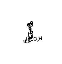 CC(C)(C)OC(=O)NC(CCSc1ccc(-c2ccc(-c3cccc4c3oc3ccccc34)cc2)cc1)C(=O)O